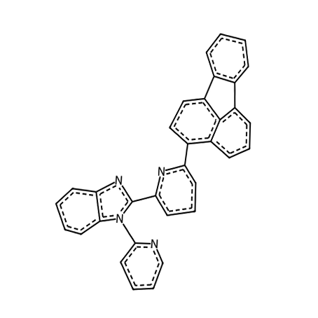 c1ccc(-n2c(-c3cccc(-c4ccc5c6c(cccc46)-c4ccccc4-5)n3)nc3ccccc32)nc1